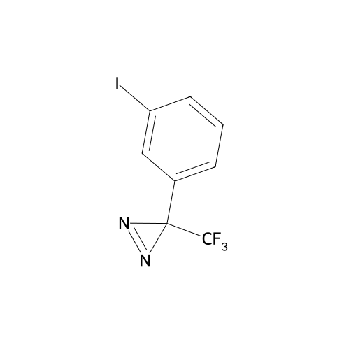 FC(F)(F)C1(c2cccc(I)c2)N=N1